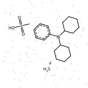 CS(=O)(=O)O.S.[F].c1cc[c]([Bi]([CH]2CCCCC2)[CH]2CCCCC2)cc1